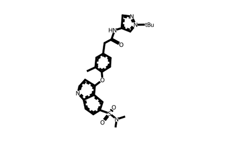 Cc1cc(CC(=O)Nc2cnn(C(C)(C)C)c2)ccc1Oc1ccnc2ccc(S(=O)(=O)N(C)C)cc12